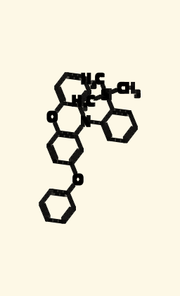 C[Si](C)(C)c1ccccc1N1c2ccccc2Oc2ccc(Oc3ccccc3)cc21